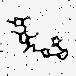 CCCc1nc(C(=O)OCc2ccc(-c3ccccc3-c3nnn[nH]3)cc2)c(CO)n1Cc1oc(=O)oc1C